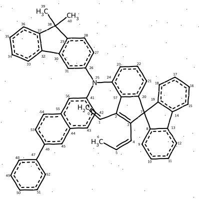 C=CC1=C(/C=C\C)C2(c3ccccc3-c3ccccc32)c2cccc(N(c3ccc4c(c3)-c3ccccc3C4(C)C)c3ccc4cc(-c5ccccc5)ccc4c3)c21